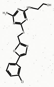 Nc1nc(NCCO)nc(SCc2ncc(-c3cccc(Cl)c3)o2)n1